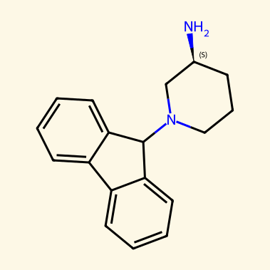 N[C@H]1CCCN(C2c3ccccc3-c3ccccc32)C1